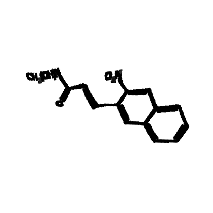 CN(O)C(=O)C=Cc1cc2ccccc2cc1[N+](=O)[O-]